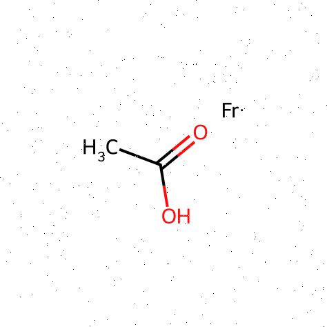 CC(=O)O.[Fr]